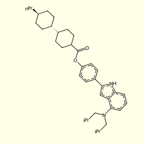 CCC[C@H]1CC[C@H](C2CCC(C(=O)Oc3ccc(-c4cc5c(N(CC(C)C)CC(C)C)cccc5[nH]4)cc3)CC2)CC1